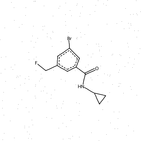 O=C(NC1CC1)c1cc(Br)cc(CF)c1